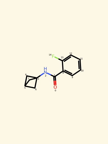 O=C(NC12CC(C1)C2)c1ccccc1F